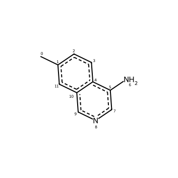 Cc1ccc2c(N)cncc2c1